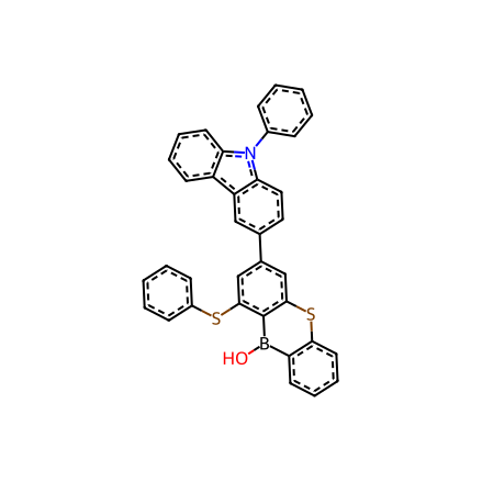 OB1c2ccccc2Sc2cc(-c3ccc4c(c3)c3ccccc3n4-c3ccccc3)cc(Sc3ccccc3)c21